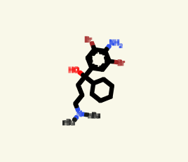 CCCCN(CCCC)CCCC(O)(c1cc(Br)c(N)c(Br)c1)C1CCCCC1